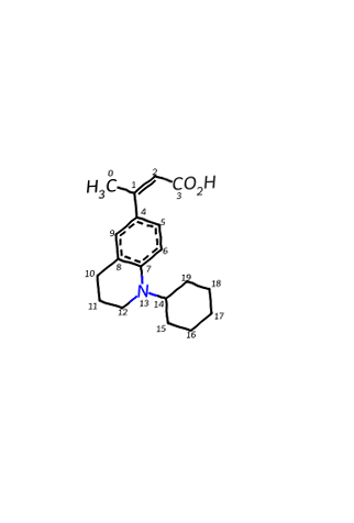 C/C(=C/C(=O)O)c1ccc2c(c1)CCCN2C1CCCCC1